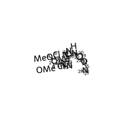 COc1cc(OC)c(Cl)c(Nc2ncncc2-c2cc(Nc3ccc(OCCN(C)C)cc3)ncn2)c1Cl